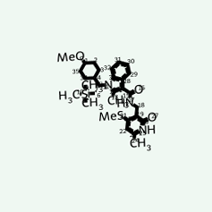 COC1CCC([C@@H](C[Si](C)(C)C)n2c(C)c(C(=O)NCc3c(SC)cc(C)[nH]c3=O)c3ccccc32)CC1